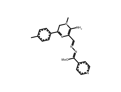 CO/C(=N\N=C\C1=C(N)N(C)CC(c2ccc(C)cc2)=N1)c1ccncc1